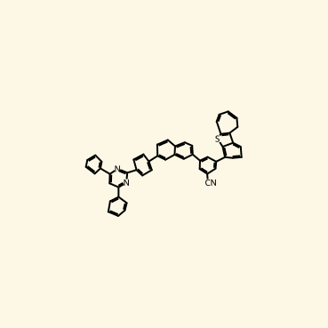 N#Cc1cc(-c2ccc3ccc(-c4ccc(-c5nc(-c6ccccc6)cc(-c6ccccc6)n5)cc4)cc3c2)cc(-c2cccc3c4c(sc23)C=CC=CC4)c1